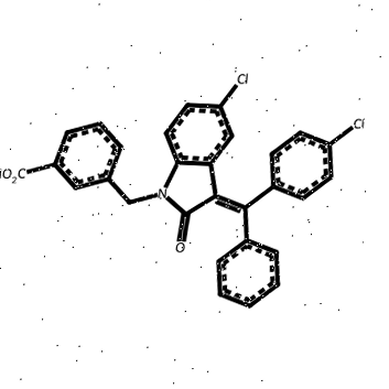 O=C(O)c1cccc(CN2C(=O)/C(=C(\c3ccccc3)c3ccc(Cl)cc3)c3cc(Cl)ccc32)c1